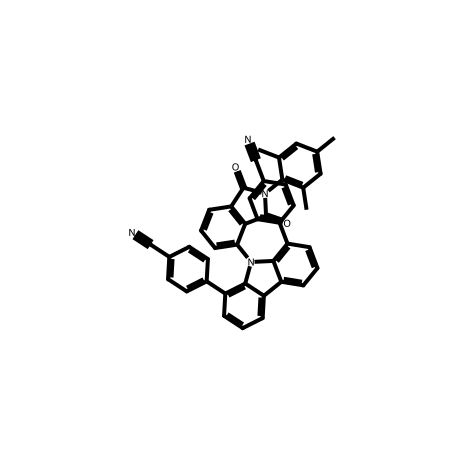 Cc1cc(C)c(N2C(=O)c3cccc(-n4c5c(-c6ccc(C#N)cc6)cccc5c5cccc(-c6ccc(C#N)cc6)c54)c3C2=O)c(C)c1